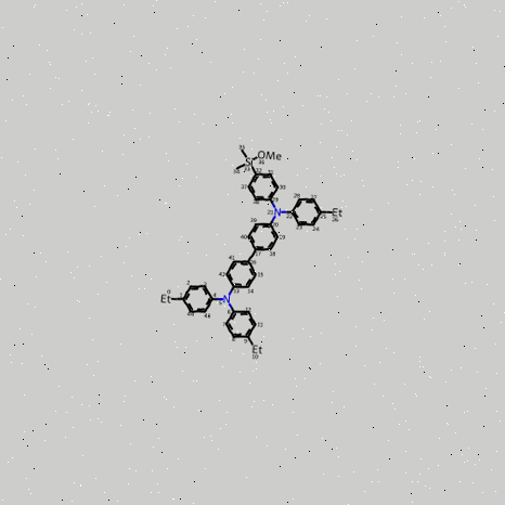 CCc1ccc(N(c2ccc(CC)cc2)c2ccc(-c3ccc(N(c4ccc(CC)cc4)c4ccc([Si](C)(C)OC)cc4)cc3)cc2)cc1